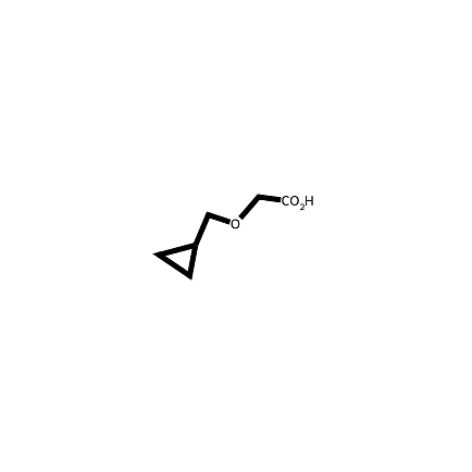 O=C(O)COCC1CC1